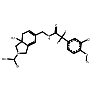 CCCCC(CC)N1CC2=CC(CNC(=O)C(F)(F)c3ccc(OC(C)C)c(Cl)c3)=CCC2(C)C1